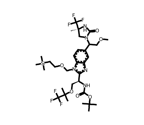 COCC(c1ccc2c(c1)nc([C@H](COC(C)(C)C(F)(F)F)NC(=O)OC(C)(C)C)n2COCC[Si](C)(C)C)N1C[C@@](C)(C(F)(F)F)NC1=O